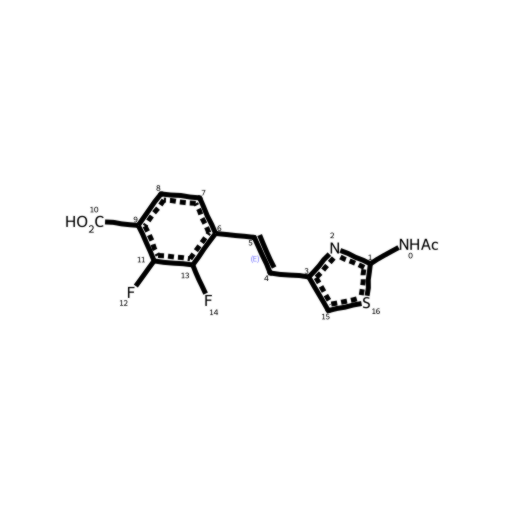 CC(=O)Nc1nc(/C=C/c2ccc(C(=O)O)c(F)c2F)cs1